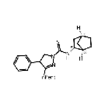 CCCCCC1=NN(C(=S)N[C@@H]2C[C@H]3CC[C@@H]2C3)CC1c1ccccc1